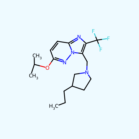 CCCC1CCN(Cc2c(C(F)(F)F)nc3ccc(OC(C)C)nn23)C1